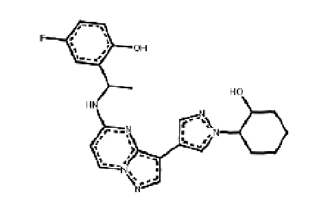 CC(Nc1ccn2ncc(-c3cnn(C4CCCCC4O)c3)c2n1)c1cc(F)ccc1O